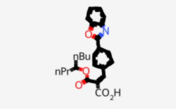 CCCCC(CCC)OC(=O)C(=Cc1ccc(-c2nc3ccccc3o2)cc1)C(=O)O